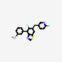 Cc1cccc(-c2c(F)c(Cc3ccc(F)nc3)cc3scnc23)c1